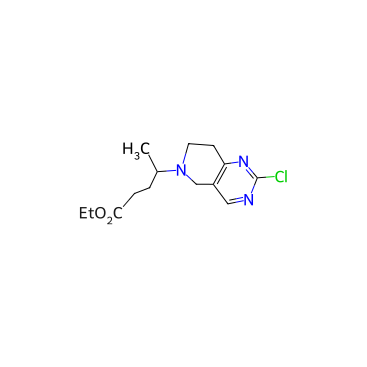 CCOC(=O)CCC(C)N1CCc2nc(Cl)ncc2C1